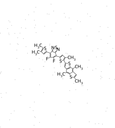 Cc1cc2c(C)c3sc(-c4sc(-c5c(F)c(F)c(-c6cc(C)c(C)s6)c6nsnc56)cc4C)cc3c(C)c2s1